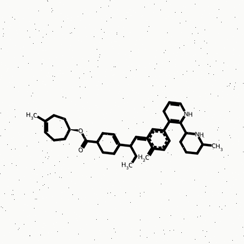 C=c1ccc(C2=C(C3CCCC(C)N3)NC=CC2)c/c1=C/C(CC)C1=CCC(C(=O)O[C@H]2CCC=C(C)CC2)CC1